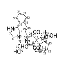 Cl.O=CC(N1CCNCC1)N1C=C(C(=O)O)C(CCCO)(c2c(Cl)cccc2Cl)C(C(=O)O)=C1CCc1ccccc1